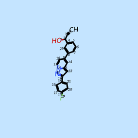 C#CC(O)c1cccc(-c2ccn3nc(-c4ccc(F)cc4)cc3c2)c1